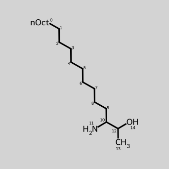 CCCCCCCCCCCCCCCCCC(N)C(C)O